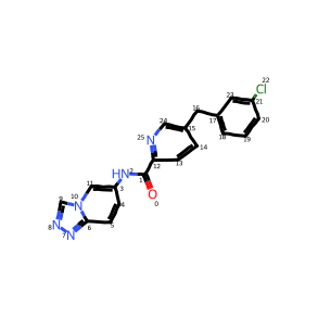 O=C(Nc1ccc2nncn2c1)c1ccc(Cc2cccc(Cl)c2)cn1